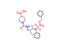 C[C@@H]1[C@H](CNC(=O)N2CCC(C(=O)O)CC2)Cc2ccccc2N1S(=O)(=O)C(=O)OCc1ccccc1